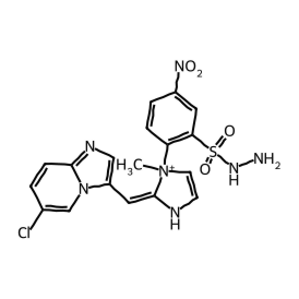 C[N+]1(c2ccc([N+](=O)[O-])cc2S(=O)(=O)NN)C=CNC1=Cc1cnc2ccc(Cl)cn12